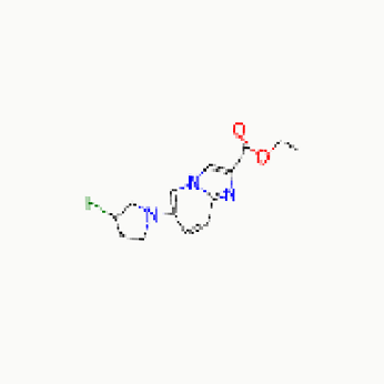 CCOC(=O)c1cn2cc(N3CCC(F)C3)ccc2n1